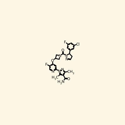 Cc1nn(-c2cc(OC3CN(C(=O)N4N=CCC4c4cc(F)cc(Cl)c4)C3)c(F)cn2)c(C)c1C(N)=O